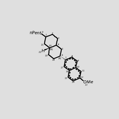 CCCCCC1CCC2C[C@H](c3ccc4cc(OC)ccc4c3)CC[C@@H]2C1